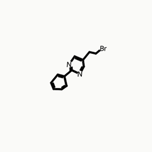 BrCCc1cnc(-c2ccccc2)nc1